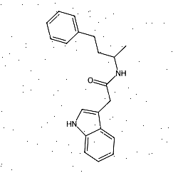 CC(CCc1ccccc1)NC(=O)Cc1c[nH]c2ccccc12